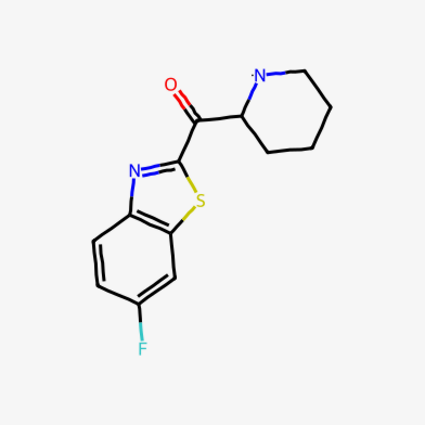 O=C(c1nc2ccc(F)cc2s1)C1CCCC[N]1